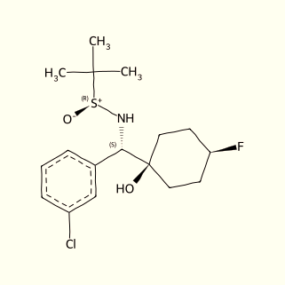 CC(C)(C)[S@+]([O-])N[C@@H](c1cccc(Cl)c1)[C@]1(O)CC[C@@H](F)CC1